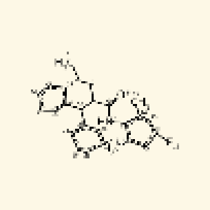 CCCC(C(=O)Nc1c(C)cc(F)cc1C)C(c1ccccc1)c1ccccc1